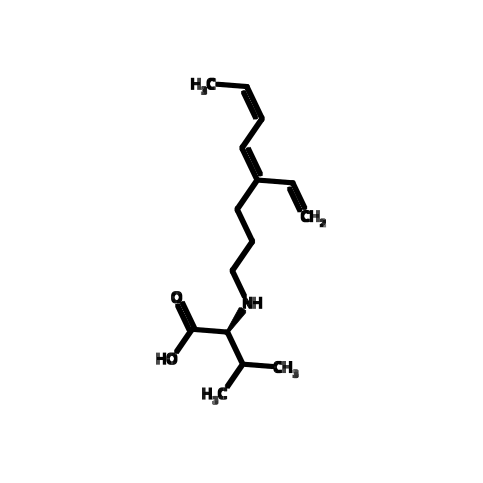 C=C/C(=C\C=C/C)CCCN[C@H](C(=O)O)C(C)C